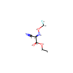 CCOC(=O)C(C#N)=NOCF